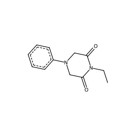 CCN1C(=O)CN(c2ccccc2)CC1=O